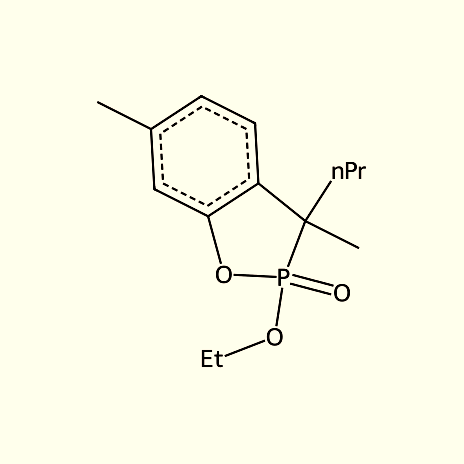 CCCC1(C)c2ccc(C)cc2OP1(=O)OCC